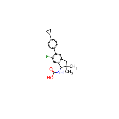 CC1(C)Cc2cc(-c3ccc(C4CC4)cc3)c(F)cc2C1NC(=O)O